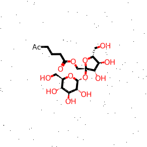 CC(=O)CCCC(=O)OC[C@@]1(O[C@H]2O[C@H](CO)[C@@H](O)[C@H](O)[C@H]2O)O[C@H](CO)[C@@H](O)[C@@H]1O